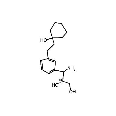 NC(c1cccc(CCC2(O)CCCCC2)c1)[C@@H](O)CO